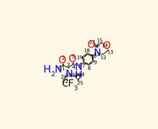 NC(=O)[C@H](C(=O)Nc1ccc(N2CCOCC2=O)cc1)N(CC(F)(F)F)C1CC1